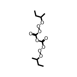 CCC(C)OOOC(=O)OC(=O)OOOC(C)CC